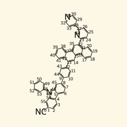 N#Cc1ccc2c3ccc(-c4ccc(-c5cc6c7ccccc7c(-c7cccc(-c8ccncc8)n7)cc6c6ccccc56)cc4)cc3n(-c3ccccc3)c2c1